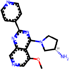 COc1cncc2nc(-c3ccncc3)nc(N3CC[C@H](N)C3)c12